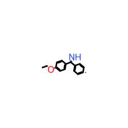 CCOc1ccc(C(=N)c2cc[c]cc2)cc1